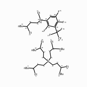 CCCCC(CC)CC[B-](CCC(CC)CCCC)(CCC(CC)CCCC)CCC(CC)CCCC.CCCCC(CC)CC[NH+](CC)c1cc(F)c(F)c(C(F)(F)C(F)(F)F)c1F